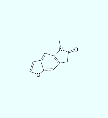 CN1C(=O)Cc2cc3occc3cc21